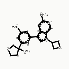 COc1cc(-c2cn(C3COC3)c3cnc(NC(C)=O)cc23)nc(C2(OC)CCOC2)c1